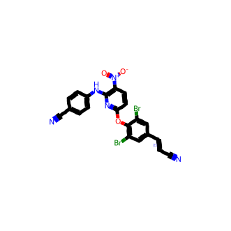 N#C/C=C/c1cc(Br)c(Oc2ccc([N+](=O)[O-])c(Nc3ccc(C#N)cc3)n2)c(Br)c1